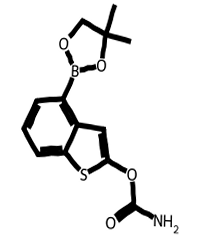 CC1(C)COB(c2cccc3sc(OC(N)=O)cc23)O1